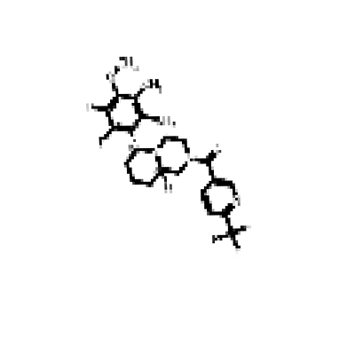 COc1c(C)c(C)c([C@H]2CCC[C@H]3CN(C(=O)c4ccc(C(F)(F)F)nc4)CCN32)c(F)c1F